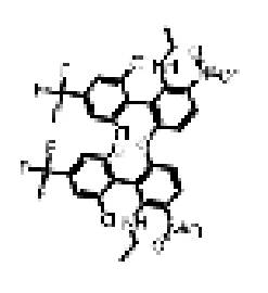 CCNc1c([N+](=O)[O-])ccc(Oc2ccc([N+](=O)[O-])c(NCC)c2-c2c(Cl)cc(C(F)(F)F)cc2Cl)c1-c1c(Cl)cc(C(F)(F)F)cc1Cl